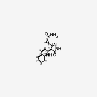 NC(=O)C1CC1C1=NNC(=O)/C1=C1/C=Cc2ccccc2N1